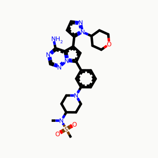 CN(C1CCN(c2cccc(-c3cc(-c4ccnn4C4CCOCC4)c4c(N)ncnn34)c2)CC1)S(C)(=O)=O